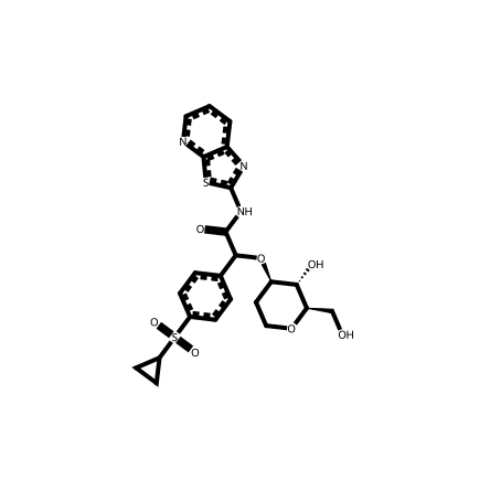 O=C(Nc1nc2cccnc2s1)C(O[C@@H]1CCO[C@H](CO)[C@H]1O)c1ccc(S(=O)(=O)C2CC2)cc1